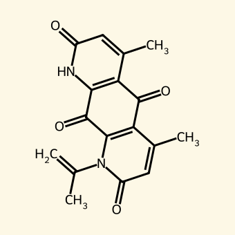 C=C(C)n1c2c(c(C)cc1=O)C(=O)c1c(C)cc(=O)[nH]c1C2=O